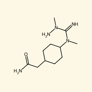 CN(N)C(=N)N(C)C1CCC(CC(N)=O)CC1